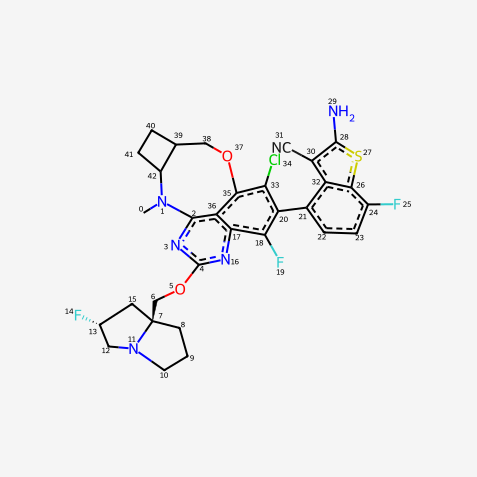 CN1c2nc(OC[C@@]34CCCN3C[C@H](F)C4)nc3c(F)c(-c4ccc(F)c5sc(N)c(C#N)c45)c(Cl)c(c23)OCC2CCC21